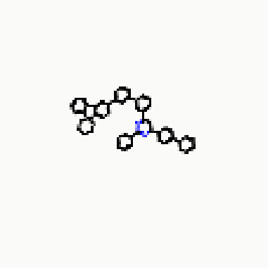 c1ccc(-c2ccc(-c3cc(-c4cccc(-c5cccc(-c6ccc7c(c6)-c6ccccc6C76CCCCC6)c5)c4)nc(-c4ccccc4)n3)cc2)cc1